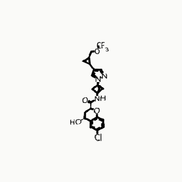 O=C(NC12CC(n3cc(C4CC4COC(F)(F)F)cn3)(C1)C2)[C@@H]1C[C@@H](O)c2cc(Cl)ccc2O1